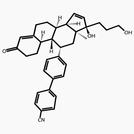 C[C@]12C[C@H](c3ccc(-c4ccc(C#N)cc4)cc3)[C@H]3[C@@H](CCC4=CC(=O)CC[C@@H]43)[C@H]1C=C[C@]2(O)CCCO